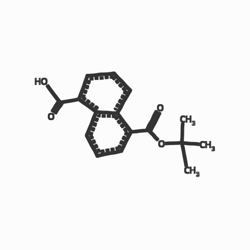 CC(C)(C)OC(=O)c1cccc2c(C(=O)O)cccc12